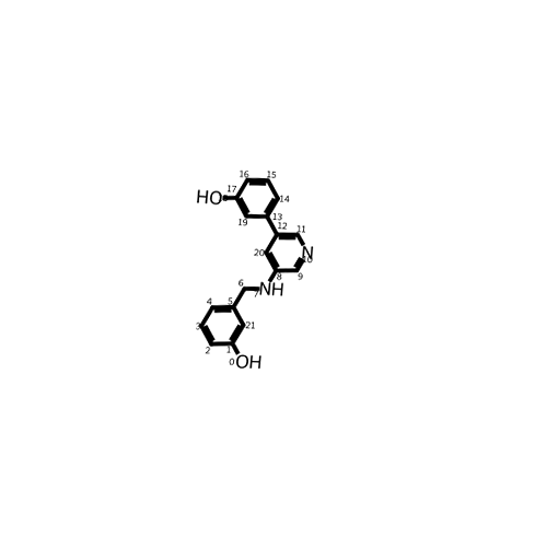 Oc1cccc(CNc2cncc(-c3cccc(O)c3)c2)c1